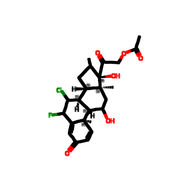 CC(=O)OCC(=O)[C@@]1(O)C(C)C[C@H]2[C@@H]3C(Cl)C(F)C4=CC(=O)C=C[C@]4(C)[C@H]3C(O)C[C@@]21C